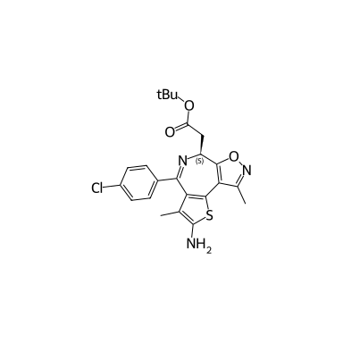 Cc1noc2c1-c1sc(N)c(C)c1C(c1ccc(Cl)cc1)=N[C@H]2CC(=O)OC(C)(C)C